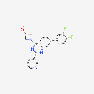 COC1CN(c2nc(-c3cccnc3)nc3cc(-c4ccc(F)c(F)c4)ccc23)C1